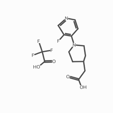 O=C(O)C(F)(F)F.O=C(O)CC1CCN(c2ccncc2F)CC1